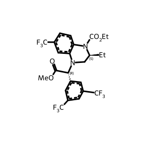 CCOC(=O)N1c2ccc(C(F)(F)F)cc2N([C@@H](C(=O)OC)c2cc(C(F)(F)F)cc(C(F)(F)F)c2)C[C@@H]1CC